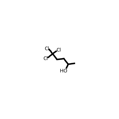 CC(O)CCC(Cl)(Cl)Cl